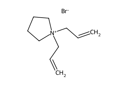 C=CC[N+]1(CC=C)CCCC1.[Br-]